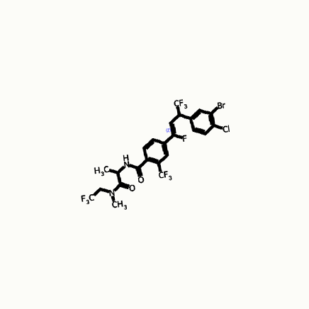 CC(NC(=O)c1ccc(/C(F)=C/C(c2ccc(Cl)c(Br)c2)C(F)(F)F)cc1C(F)(F)F)C(=O)N(C)CC(F)(F)F